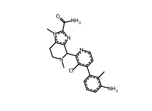 Cc1c(N)cccc1-c1ccnc(C2c3nc(C(N)=O)n(C)c3CCN2C)c1Cl